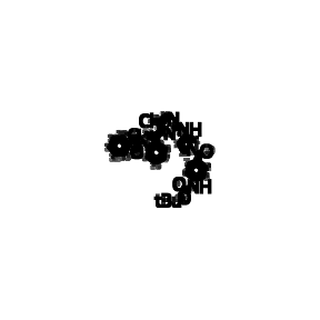 CC(C)(C)OC(=O)Nc1ccc(C(=O)N2CC[C@@H](Nc3ncc(Cl)c(-c4cn(S(=O)(=O)c5ccccc5)c5ccccc45)n3)C2)cc1